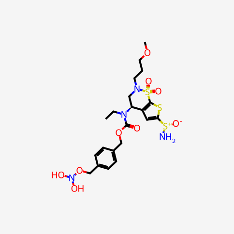 CCN(C(=O)OCc1ccc(CON(O)O)cc1)[C@H]1CN(CCCOC)S(=O)(=O)c2sc([S+](N)[O-])cc21